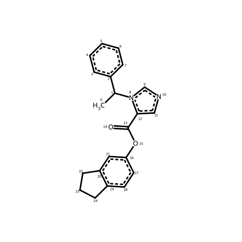 CC(c1ccccc1)n1cncc1C(=O)Oc1ccc2c(c1)CCC2